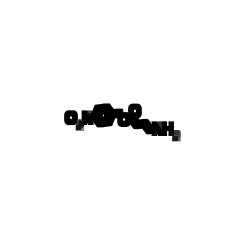 NCCCC(=O)OCc1ccc([N+](=O)[O-])cc1